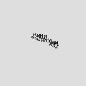 O=C(COC(=O)Nc1ccccc1)NCCOC(=O)Nc1ccccc1